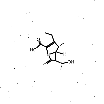 CCC1=C(C(=O)O)N2C(=O)[C@H]([C@@H](C)O)[C@H]2[C@H]1C